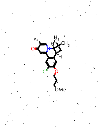 COCCCOc1cc2c(cc1Cl)-c1cc(=O)c(C(C)=O)cn1[C@H]1[C@@H]2CC1(C)C